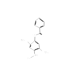 CCNc1cc(OC)c(NC(=O)c2ccccc2)cc1OC